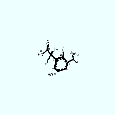 CC(N)c1cccc(C(F)(F)C(=O)O)c1F.Cl